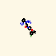 CC(C)(C)c1cc(F)ccc1OC1CCN(C(=O)CCN(N)c2ccccc2N)CC1